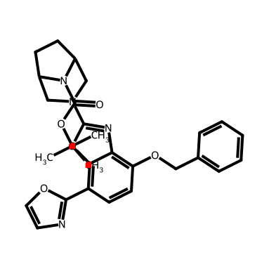 CC(C)(C)OC(=O)N1C2CCC1CN(c1nc3c(OCc4ccccc4)ccc(-c4ncco4)c3o1)C2